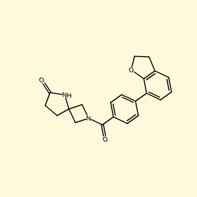 O=C1CCC2(CN(C(=O)c3ccc(-c4cccc5c4OCC5)cc3)C2)N1